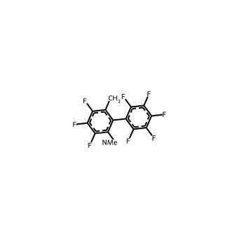 CNc1c(F)c(F)c(F)c(C)c1-c1c(F)c(F)c(F)c(F)c1F